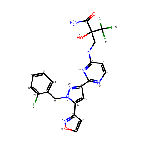 NC(=O)C(O)(CNc1ccnc(-c2cc(-c3ccon3)n(Cc3ccccc3F)n2)n1)C(F)(F)F